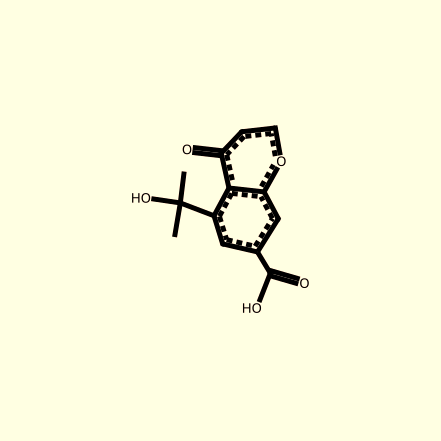 CC(C)(O)c1cc(C(=O)O)cc2occc(=O)c12